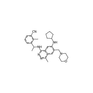 Cc1c(C#N)cccc1C(C)Nc1nnc(C)c2cc(CN3CCOCC3)c(NC3CCCC3)cc12